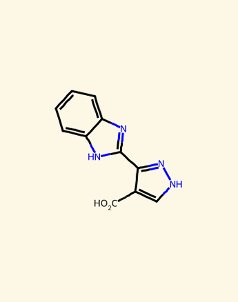 O=C(O)c1c[nH]nc1-c1nc2ccccc2[nH]1